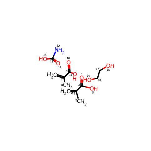 C=C(C)C(=O)O.C=C(C)C(=O)O.NC(=O)O.OCCO